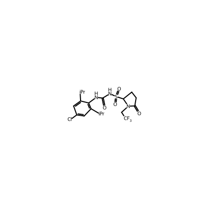 CC(C)c1cc(Cl)cc(C(C)C)c1NC(=O)NS(=O)(=O)C1CCC(=O)N1CC(F)(F)F